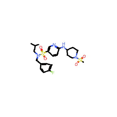 CC(C)CN(Cc1ccc(F)cc1)S(=O)(=O)c1ccc(NC2CCN(S(C)(=O)=O)CC2)nc1